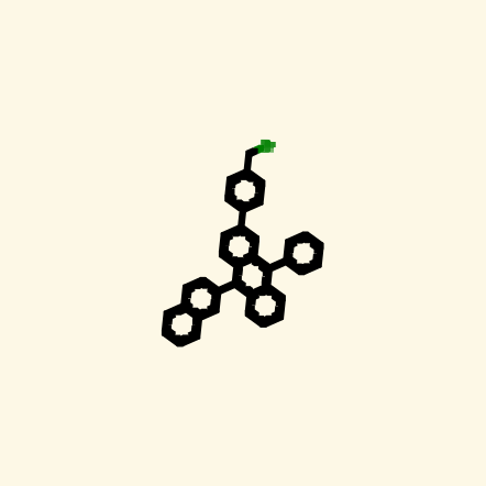 BrCc1ccc(-c2ccc3c(-c4ccc5ccccc5c4)c4ccccc4c(-c4ccccc4)c3c2)cc1